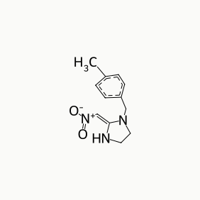 Cc1ccc(CN2CCNC2=C[N+](=O)[O-])cc1